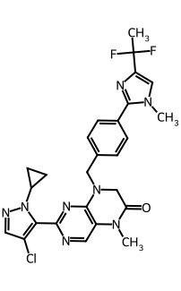 CN1C(=O)CN(Cc2ccc(-c3nc(C(C)(F)F)cn3C)cc2)c2nc(-c3c(Cl)cnn3C3CC3)ncc21